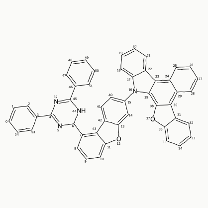 c1ccc(C2=NC(c3cccc4oc5cc(-n6c7ccccc7c7c8ccccc8c8c9ccccc9oc8c76)ccc5c34)NC(c3ccccc3)=N2)cc1